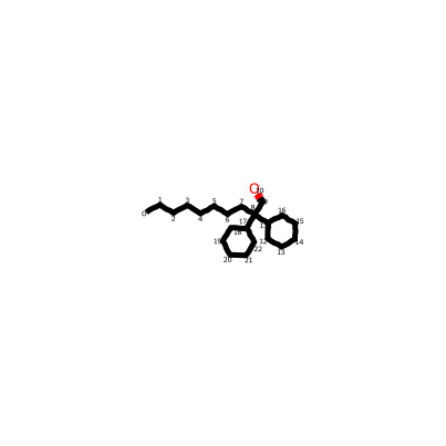 CCCCCCCCC(C=O)(C1CCCCC1)C1CCCCC1